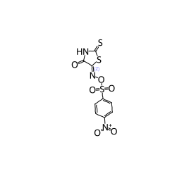 O=C1NC(=S)S/C1=N\OS(=O)(=O)c1ccc([N+](=O)[O-])cc1